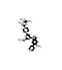 COc1nc(N2CCN(C(=O)OC(C)(C)C)CC2)cc(-n2ncc3cc(C)c(C4CCOCC4)cc32)n1